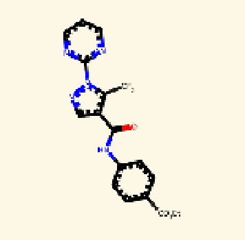 CCOC(=O)c1ccc(NC(=O)c2cnn(-c3ncccn3)c2C(F)(F)F)cc1